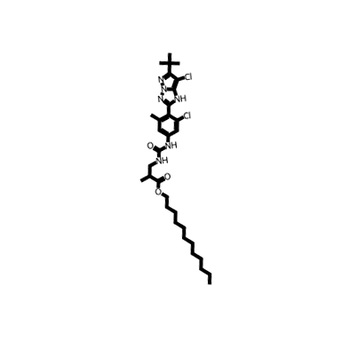 CCCCCCCCCCCCOC(=O)C(C)CNC(=O)Nc1cc(C)c(-c2nn3nc(C(C)(C)C)c(Cl)c3[nH]2)c(Cl)c1